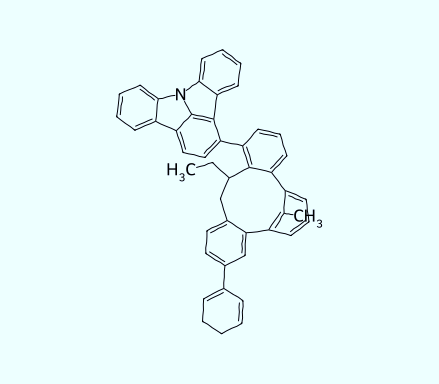 CCC1Cc2ccc(C3=CCCC=C3)cc2-c2cccc(c2C)-c2cccc(-c3ccc4c5ccccc5n5c6ccccc6c3c45)c21